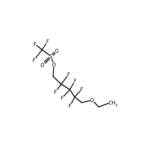 CCOCC(F)(F)C(F)(F)C(F)(F)COS(=O)(=O)C(F)(F)F